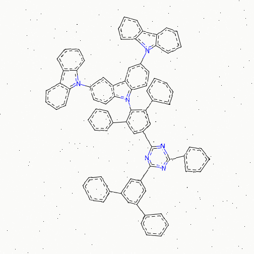 c1ccc(-c2cc(-c3ccccc3)cc(-c3nc(-c4ccccc4)nc(-c4cc(-c5ccccc5)c(-n5c6ccc(-n7c8ccccc8c8ccccc87)cc6c6cc(-n7c8ccccc8c8ccccc87)ccc65)c(-c5ccccc5)c4)n3)c2)cc1